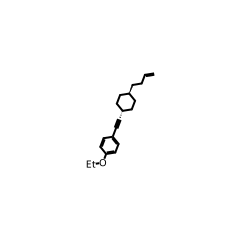 C=CCC[C@H]1CC[C@H](C#Cc2ccc(OCC)cc2)CC1